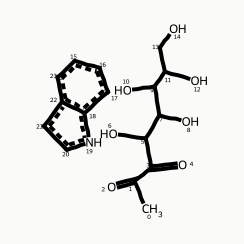 CC(=O)C(=O)C(O)C(O)C(O)C(O)CO.c1ccc2[nH]ccc2c1